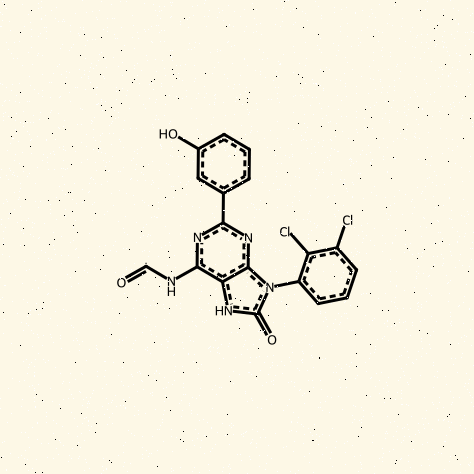 O=[C]Nc1nc(-c2cccc(O)c2)nc2c1[nH]c(=O)n2-c1cccc(Cl)c1Cl